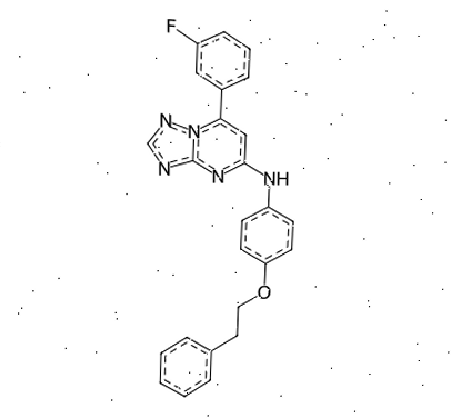 Fc1cccc(-c2cc(Nc3ccc(OCCc4ccccc4)cc3)nc3ncnn23)c1